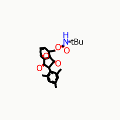 Cc1cc(C)c(C2C(=O)C3C4C=CC(COC(=O)NC(C)(C)C)(O4)C3C2=O)c(C)c1